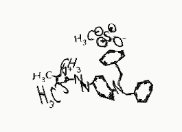 COS(=O)(=O)[O-].Cc1sc(N=Nc2ccc(N(Cc3ccccc3)Cc3ccccc3)cc2)[n+](C)c1C